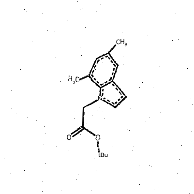 Cc1cc(C)c2c(ccn2CC(=O)OC(C)(C)C)c1